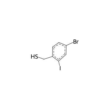 SCc1ccc(Br)cc1I